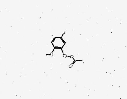 COc1ccc(I)cc1OOC(C)=O